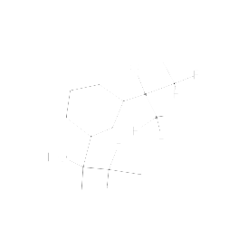 CC(O)(C1CCCC(C(O)(C(F)(F)F)C(F)(F)F)C1)C(F)(F)F